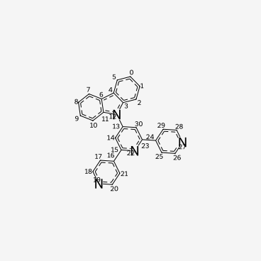 c1ccc2c(c1)c1ccccc1n2-c1cc(-c2ccncc2)nc(-c2ccncc2)c1